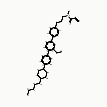 C=CC(=O)N(C)CCCc1ccc(-c2ccc(-c3ccc(C4CCC(CCCCC)CC4)cc3)c(CC)c2)cc1